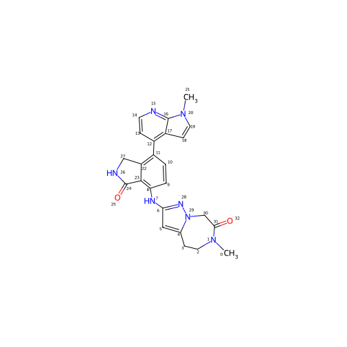 CN1CCc2cc(Nc3ccc(-c4ccnc5c4ccn5C)c4c3C(=O)NC4)nn2CC1=O